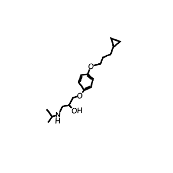 CC(C)NCC(O)COc1ccc(OCCCC2CC2)cc1